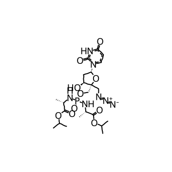 CC(C)OC(=O)[C@H](C)NP(=O)(N[C@@H](C)C(=O)OC(C)C)OC[C@@]1(CN=[N+]=[N-])O[C@@H](n2ccc(=O)[nH]c2=O)C[C@@H]1O